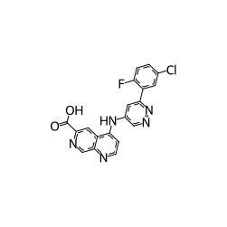 O=C(O)c1cc2c(Nc3cnnc(-c4cc(Cl)ccc4F)c3)ccnc2cn1